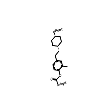 CCCCCCCC(=O)Oc1ccc(CC[C@H]2CC[C@H](CCCCC)CC2)cc1C